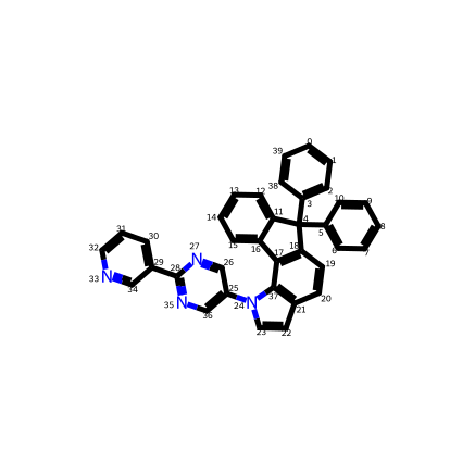 c1ccc(C2(c3ccccc3)c3ccccc3-c3c2ccc2ccn(-c4cnc(-c5cccnc5)nc4)c32)cc1